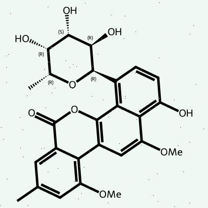 COc1cc2c(oc(=O)c3cc(C)cc(OC)c32)c2c([C@H]3O[C@H](C)[C@H](O)[C@H](O)[C@H]3O)ccc(O)c12